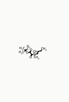 CCCC[Si](C)(C)C(=O)C(=O)OC(C)(C)C